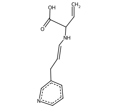 C=CC(NC=CCc1cccnc1)C(=O)O